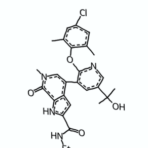 CCNC(=O)c1cc2c(-c3cc(C(C)(C)O)cnc3Oc3c(C)cc(Cl)cc3C)cn(C)c(=O)c2[nH]1